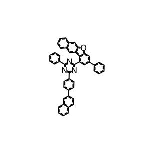 c1ccc(-c2cc(-c3nc(-c4ccccc4)nc(-c4ccc(-c5ccc6ccccc6c5)cc4)n3)c3c(c2)oc2cc4ccccc4cc23)cc1